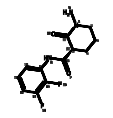 NN1CCC[C@@H](C(=O)Nc2cccc(F)c2F)C1=O